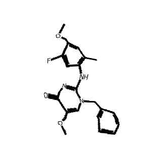 COc1cc(C)c(Nc2nc(=O)c(OC)cn2Cc2ccccc2)cc1F